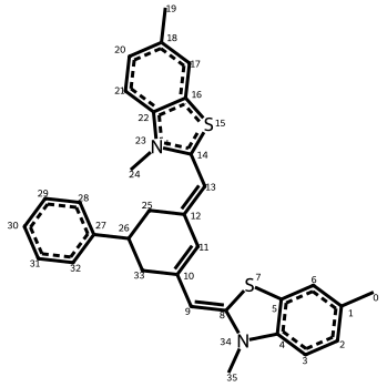 Cc1ccc2c(c1)S/C(=C\C1=CC(=C/c3sc4cc(C)ccc4[n+]3C)/CC(c3ccccc3)C1)N2C